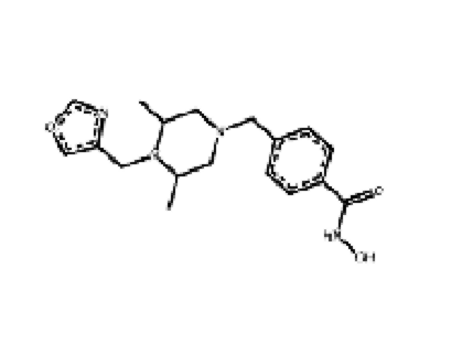 CC1CN(Cc2ccc(C(=O)NO)cc2)CC(C)N1Cc1cocn1